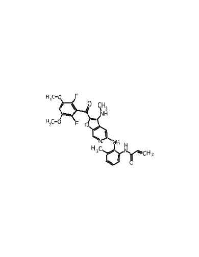 C=CC(=O)Nc1cccc(C)c1Nc1cc2c(NC)c(C(=O)c3c(F)c(OC)cc(OC)c3F)oc2cn1